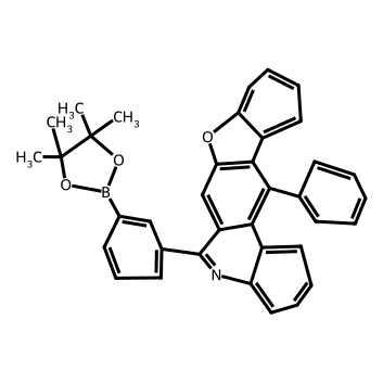 CC1(C)OB(c2cccc(-c3nc4ccccc4c4c(-c5ccccc5)c5c(cc34)oc3ccccc35)c2)OC1(C)C